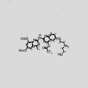 COc1cc(OC)c2nc(Nc3nc(OC(=O)C(F)(F)F)c4cc(OCCN(C)CCO)ccc4n3)nc(C)c2c1